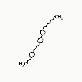 C=CCC[C@H]1CC[C@H](CCCC[C@H]2CC[C@H]([C@H]3CC[C@H](CCCCCCCC)CC3)CC2)CC1